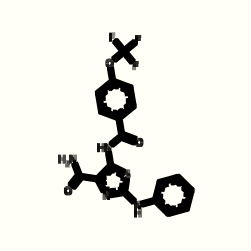 NC(=O)c1nc(Nc2ccccc2)sc1NC(=O)c1ccc(OC(F)(F)F)cc1